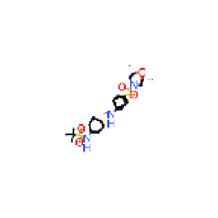 C[C@@H]1CN(S(=O)(=O)c2ccc(NC[C@H]3CC[C@H](NS(=O)(=O)C(C)(C)C)CC3)cc2)C[C@H](C)O1